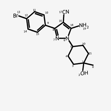 CC1(O)CCC(n2nc(-c3ccc(Br)cc3)c(C#N)c2N)CC1